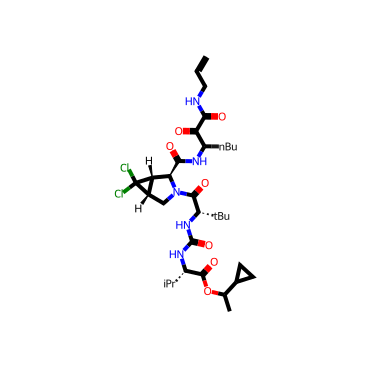 C=CCNC(=O)C(=O)C(CCCC)NC(=O)[C@@H]1[C@@H]2[C@H](CN1C(=O)[C@@H](NC(=O)N[C@H](C(=O)OC(C)C1CC1)C(C)C)C(C)(C)C)C2(Cl)Cl